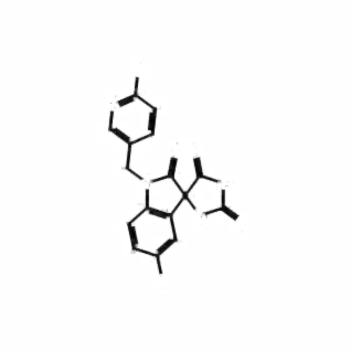 O=C1NC(=O)C2(N1)C(=O)N(Cc1ccc(Cl)nc1)c1ccc(F)cc12